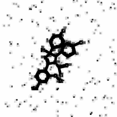 CCOc1cc(C(C)(C)C)ccc1C1=NC(CC)(c2ccc(Cl)cc2)C(c2ccc(Cl)cc2)N1C(=O)Cl